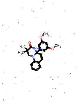 COc1cc(OC)cc(C23NC(=O)C(C)(C)CN2c2ccccc2C=C3F)c1